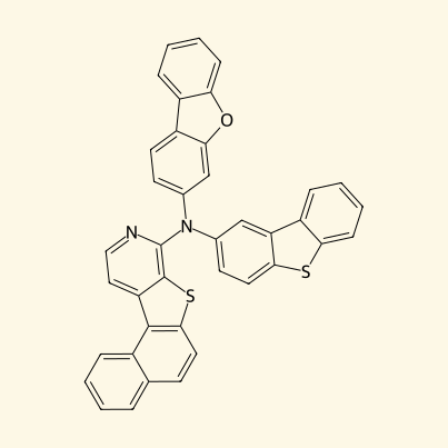 c1ccc2c(c1)ccc1sc3c(N(c4ccc5c(c4)oc4ccccc45)c4ccc5sc6ccccc6c5c4)nccc3c12